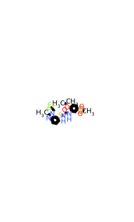 Cc1nc2cccc(SNC(=O)Nc3cc(S(C)(=O)=O)ccc3OC(C)C)c2n1CC(F)(F)F